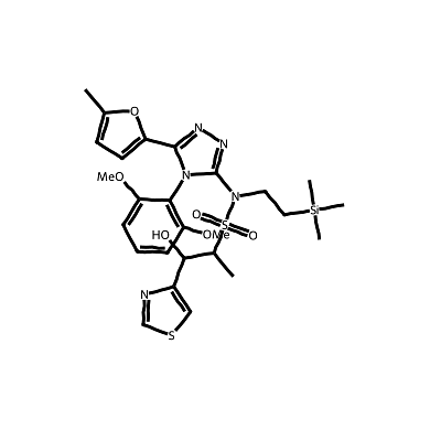 COc1cccc(OC)c1-n1c(-c2ccc(C)o2)nnc1N(CC[Si](C)(C)C)S(=O)(=O)C(C)C(O)c1cscn1